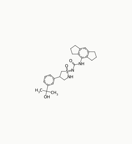 CC(C)(O)c1cccc(C2CNS(=O)(=NC(=O)Nc3c4c(cc5c3CCC5)CCC4)C2)c1